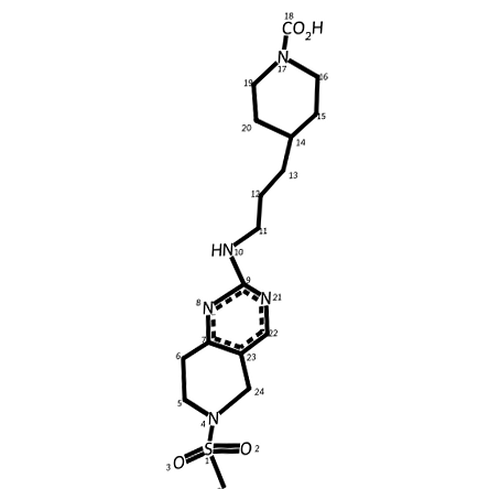 CS(=O)(=O)N1CCc2nc(NCCCC3CCN(C(=O)O)CC3)ncc2C1